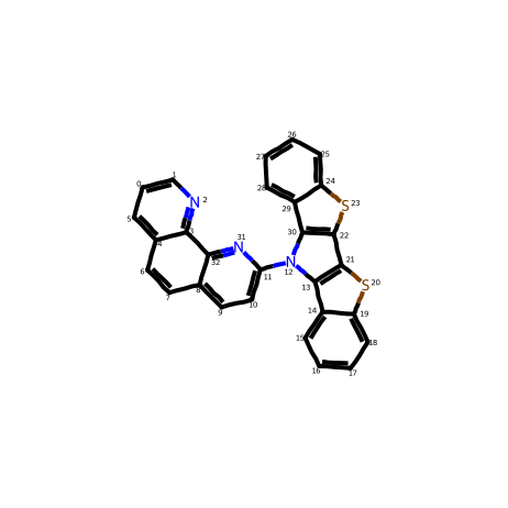 c1cnc2c(c1)ccc1ccc(-n3c4c5ccccc5sc4c4sc5ccccc5c43)nc12